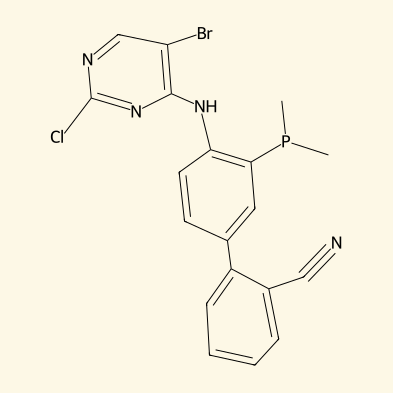 CP(C)c1cc(-c2ccccc2C#N)ccc1Nc1nc(Cl)ncc1Br